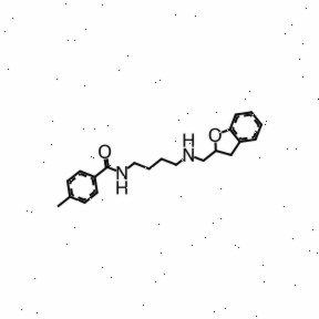 Cc1ccc(C(=O)NCCCCNCC2Cc3ccccc3O2)cc1